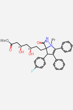 COC(=O)C[C@H](O)C[C@H](O)CCC1(C(N)=O)C(c2ccc(F)cc2)C(c2ccccc2)=C(c2ccccc2)N1C(C)C